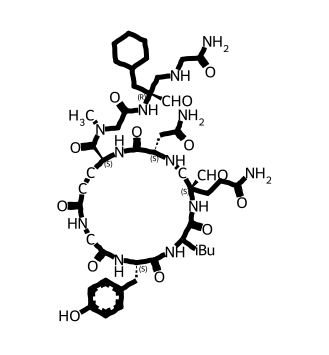 CCC(C)C1NC(=O)[C@H](Cc2ccc(O)cc2)NC(=O)CNC(=O)CC[C@@H](C(=O)N(C)CC(=O)N[C@@](C=O)(CNCC(N)=O)CC2CCCCC2)NC(=O)[C@H](CC(N)=O)NC[C@](C=O)(CCC(N)=O)NC1=O